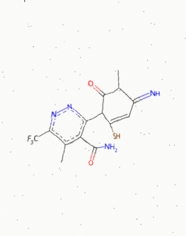 Cc1c(C(F)(F)F)nnc(C2C(=O)C(C)C(=N)C=C2S)c1C(N)=O